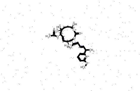 COc1cccc(C(C)/C=C/C=C(\C)[C@H]2OC(=O)C[C@H](O)CC[C@@](C)(O)[C@@H](OC(C)=O)/C=C/[C@@H]2C)n1